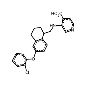 O=C(O)c1ccncc1NCC1CCCc2cc(Oc3ccccc3Cl)ccc21